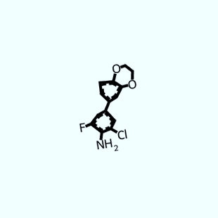 Nc1c(F)cc(-c2ccc3c(c2)OCCO3)cc1Cl